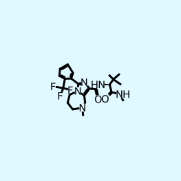 CNC(=O)[C@@H](NC(=O)c1nc(-c2ccccc2C(F)(F)F)n2c1CN(C)CCC2)C(C)(C)C